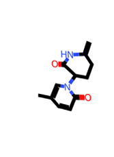 C=C1CCC(n2cc(C)ccc2=O)C(=O)N1